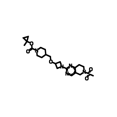 CC1(OC(=O)N2CCC(COC3CN(c4ncc5c(n4)CCN(S(C)(=O)=O)C5)C3)CC2)CC1